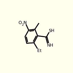 CCc1ccc([N+](=O)[O-])c(C)c1C(=N)S